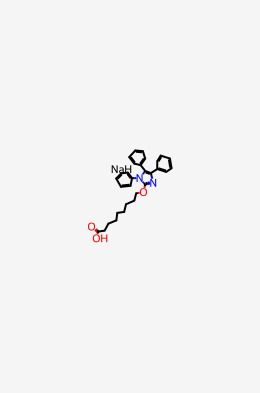 O=C(O)CCCCCCCCOc1nc(-c2ccccc2)c(-c2ccccc2)n1-c1ccccc1.[NaH]